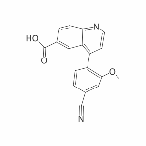 COc1cc(C#N)ccc1-c1ccnc2ccc(C(=O)O)cc12